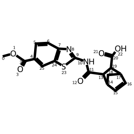 COC(=O)c1ccc2nc(NC(=O)C3C4C=CC(C4)C3C(=O)O)sc2c1